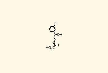 O=C(O)NOCC[C@H](O)c1cccc(F)c1